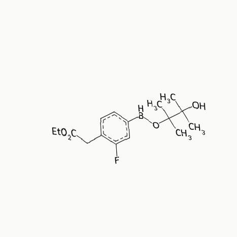 CCOC(=O)Cc1ccc(BOC(C)(C)C(C)(C)O)cc1F